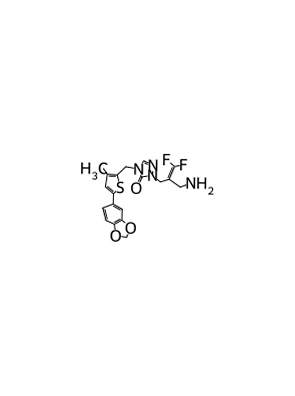 Cc1cc(-c2ccc3c(c2)OCO3)sc1Cn1cnn(CC(CN)=C(F)F)c1=O